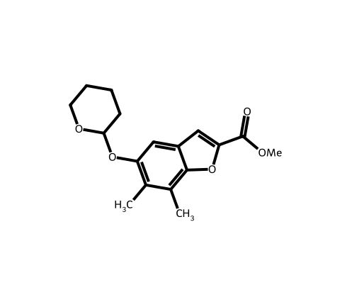 COC(=O)c1cc2cc(OC3CCCCO3)c(C)c(C)c2o1